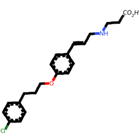 O=C(O)CCNCC=Cc1ccc(OCCCc2ccc(Cl)cc2)cc1